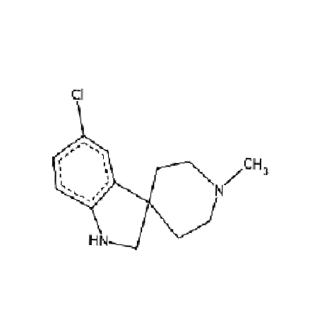 CN1CCC2(CC1)CNc1ccc(Cl)cc12